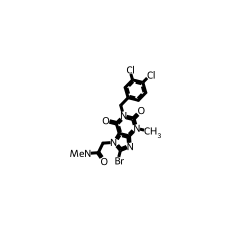 CNC(=O)Cn1c(Br)nc2c1c(=O)n(Cc1ccc(Cl)c(Cl)c1)c(=O)n2C